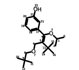 CC(C)OC(=C(COCC(C)(C)C)C(C)(C)C)c1cccc(O)c1